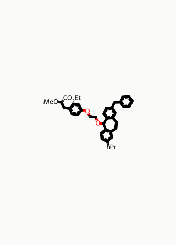 CCCc1ccc2c(c1)C=Cc1cc(Cc3ccccc3)ccc1C2OCCOc1ccc(CC(OC)C(=O)OCC)cc1